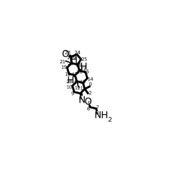 CC1(C)/C(=N\OCCN)CC[C@@]2(C)C1CC[C@@H]1[C@@H]2CC[C@]2(C)C(=O)CC[C@@H]12